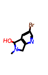 CN1Cc2ncc(Br)cc2C1O